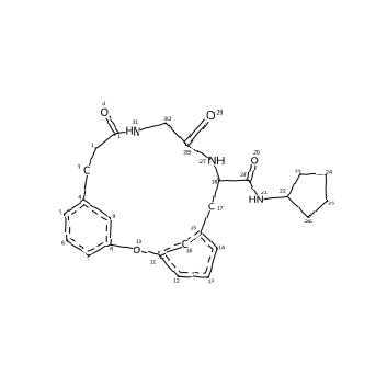 O=C1CCc2cccc(c2)Oc2cccc(c2)CC(C(=O)NC2CCCC2)NC(=O)CN1